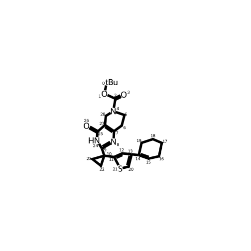 CC(C)(C)OC(=O)N1CCc2nc(C3(c4cc(C5=CCCCC5)cs4)CC3)[nH]c(=O)c2C1